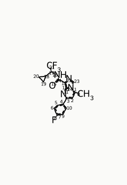 Cc1cc(-c2ccc(F)cc2)nc2c(C(=O)N[C@@H](C3CC3)C(F)(F)F)ncn12